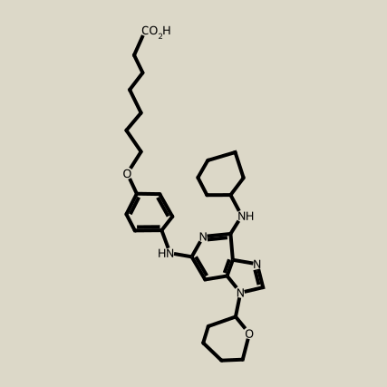 O=C(O)CCCCCCOc1ccc(Nc2cc3c(ncn3C3CCCCO3)c(NC3CCCCC3)n2)cc1